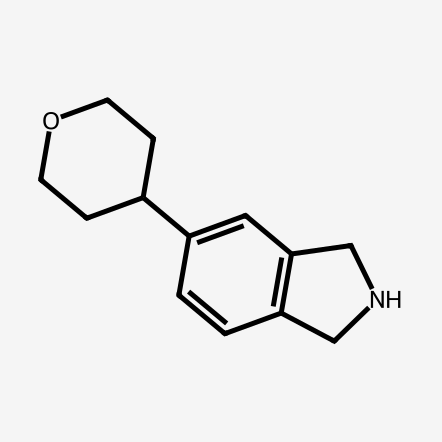 c1cc2c(cc1C1CCOCC1)CNC2